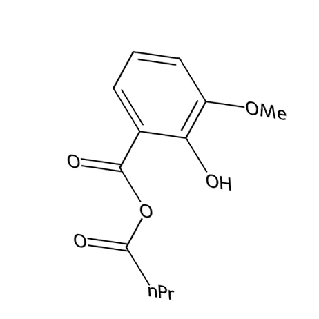 CCCC(=O)OC(=O)c1cccc(OC)c1O